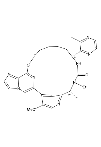 CCN1C(=O)N[C@@H](c2nccnc2C)CCCCCOc2nc(cn3ccnc23)-c2cc(ncc2OC)[C@H]1C